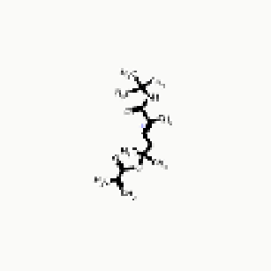 C=C(C)C(=O)OC(C)(C)C/C=C(\C)C(=O)NC(C)(C)C